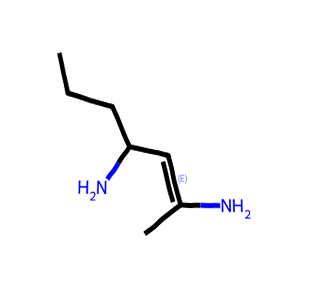 CCCC(N)/C=C(\C)N